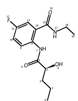 CCC[C@H](O)C(=O)Nc1ccc(F)cc1C(=O)NCC